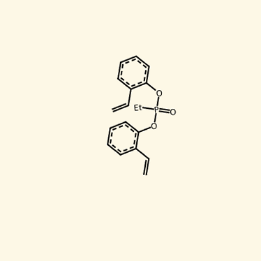 C=Cc1ccccc1OP(=O)(CC)Oc1ccccc1C=C